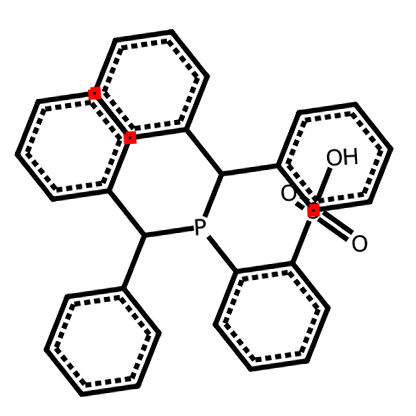 O=S(=O)(O)c1ccccc1P(C(c1ccccc1)c1ccccc1)C(c1ccccc1)c1ccccc1